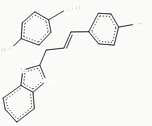 Cc1ccc(S(=O)(=O)O)cc1.Oc1ccc(C=CCc2nc3ccccc3s2)cc1